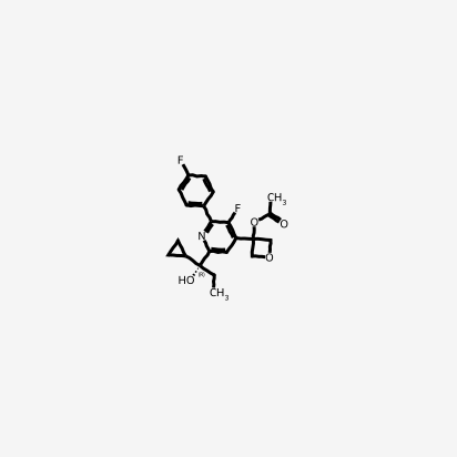 CC[C@](O)(c1cc(C2(OC(C)=O)COC2)c(F)c(-c2ccc(F)cc2)n1)C1CC1